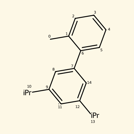 Cc1ccccc1-c1cc(C(C)C)[c]c(C(C)C)c1